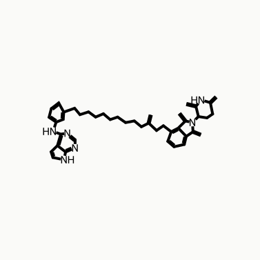 C=C(CCCCCCCCCCc1cccc(Nc2ncnc3[nH]ccc23)c1)CCc1cccc2c(=C)n(C3CCC(=C)NC3=C)c(=C)c12